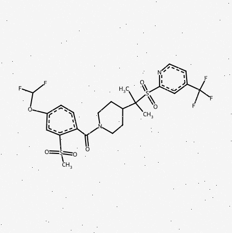 CC(C)(C1CCN(C(=O)c2ccc(OC(F)F)cc2S(C)(=O)=O)CC1)S(=O)(=O)c1cc(C(F)(F)F)ccn1